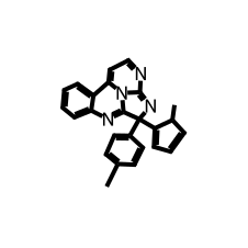 Cc1ccc(C2(C3=CC=CC3C)N=C3N=CC=C4c5ccccc5N=C2N43)cc1